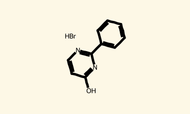 Br.Oc1ccnc(-c2ccccc2)n1